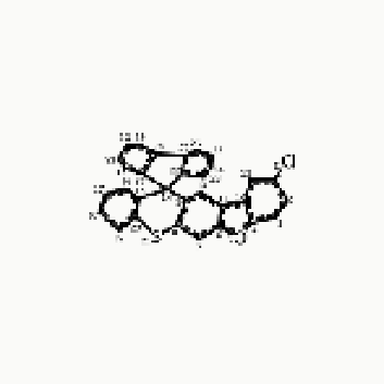 Clc1ccc2oc3cc4c(cc3c2c1)C1(c2ccccc2S4)c2ccccc2-c2ccccc21